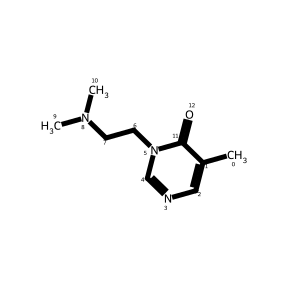 Cc1cncn(CCN(C)C)c1=O